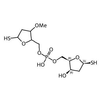 COC1CC(S)OC1COP(=O)(O)OC[C@H]1O[C@@H](S)C[C@H]1O